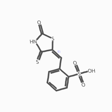 O=C1NC(=S)/C(=C\c2ccccc2S(=O)(=O)O)S1